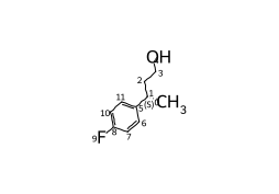 C[C@@H](CCO)c1ccc(F)cc1